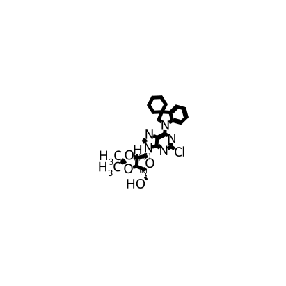 CC1(C)OC2[C@@H](CO)O[C@@H](n3cnc4c(N5CC6(CCCCC6)c6ccccc65)nc(Cl)nc43)[C@H]2O1